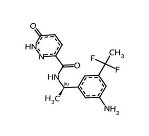 C[C@@H](NC(=O)c1ccc(=O)[nH]n1)c1cc(N)cc(C(C)(F)F)c1